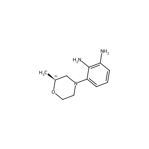 C[C@H]1CN(c2cccc(N)c2N)CCO1